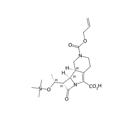 C=CCOC(=O)N1CCC2=C(C(=O)O)N3C(=O)[C@H]([C@@H](C)O[Si](C)(C)C)[C@H]3[C@H]2C1